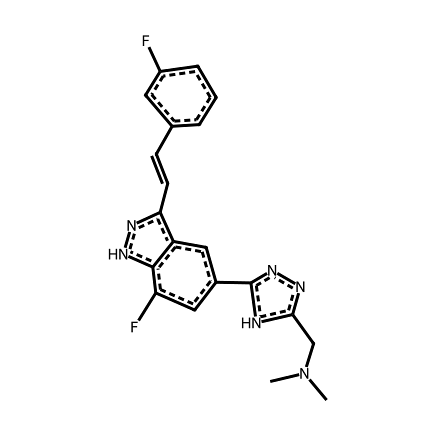 CN(C)Cc1nnc(-c2cc(F)c3[nH]nc(C=Cc4cccc(F)c4)c3c2)[nH]1